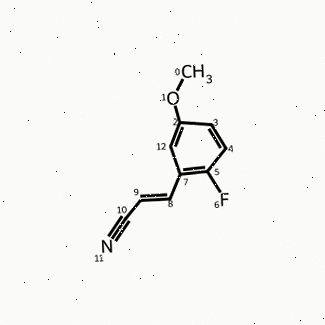 COc1ccc(F)c(C=CC#N)c1